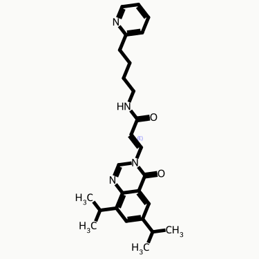 CC(C)c1cc(C(C)C)c2ncn(/C=C/C(=O)NCCCCc3ccccn3)c(=O)c2c1